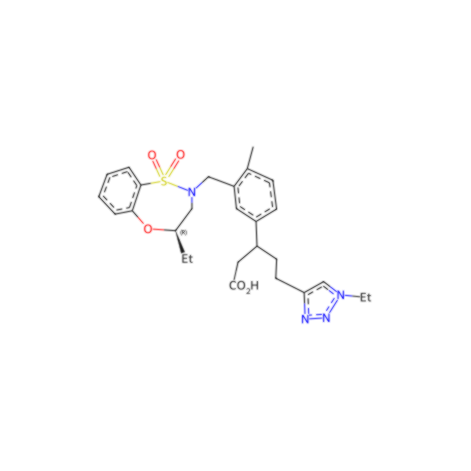 CC[C@@H]1CN(Cc2cc(C(CCc3cn(CC)nn3)CC(=O)O)ccc2C)S(=O)(=O)c2ccccc2O1